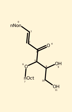 CCCCCCCCCC=CC(=O)C(OCCCCCCCC)C(O)CO